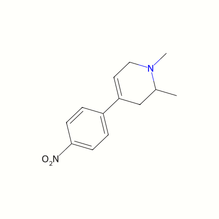 CC1CC(c2ccc([N+](=O)[O-])cc2)=CCN1C